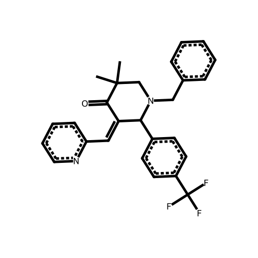 CC1(C)CN(Cc2ccccc2)C(c2ccc(C(F)(F)F)cc2)C(=Cc2ccccn2)C1=O